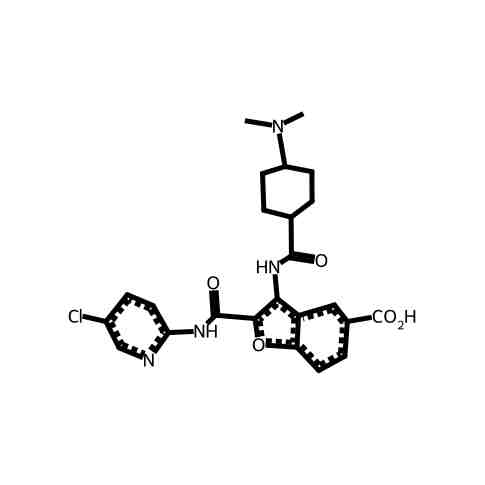 CN(C)C1CCC(C(=O)Nc2c(C(=O)Nc3ccc(Cl)cn3)oc3ccc(C(=O)O)cc23)CC1